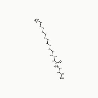 CCCCCCCCCCCCCCCC(=O)NCC[C]=O